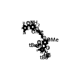 C=C1CC(C(=O)c2cc(OC)c(OCCCCCOc3cc(N)c(C(=O)C4CC(=C)C[C@H]4C)cc3OC)cc2NC(=O)OC(C)(C)C)[C@H](CO[Si](C)(C)C(C)(C)C)C1